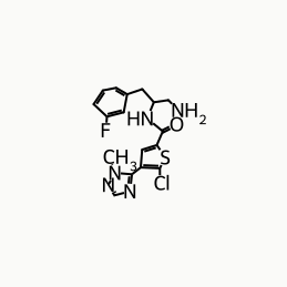 Cn1ncnc1-c1cc(C(=O)NC(CN)Cc2cccc(F)c2)sc1Cl